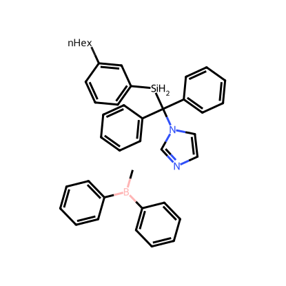 CB(c1ccccc1)c1ccccc1.CCCCCCc1cccc([SiH2]C(c2ccccc2)(c2ccccc2)n2ccnc2)c1